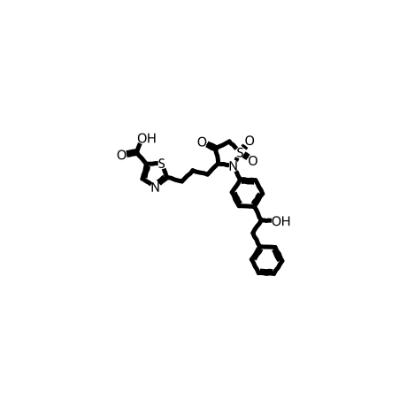 O=C(O)c1cnc(CCCC2C(=O)CS(=O)(=O)N2c2ccc(C(O)Cc3ccccc3)cc2)s1